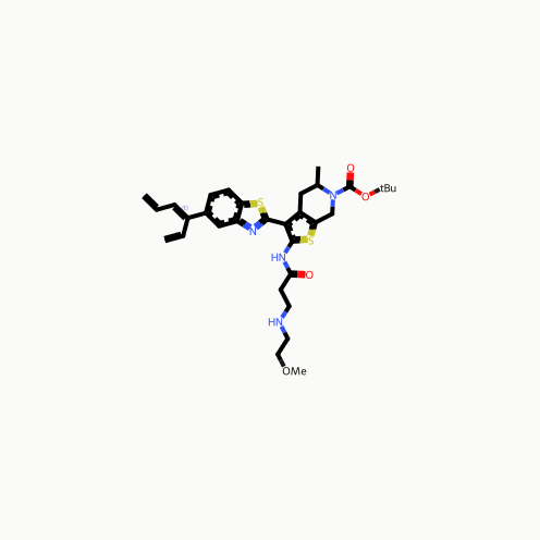 C=C/C=C(\C=C)c1ccc2sc(-c3c(NC(=O)CCNCCOC)sc4c3CC(C)N(C(=O)OC(C)(C)C)C4)nc2c1